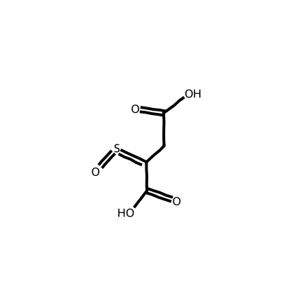 O=S=C(CC(=O)O)C(=O)O